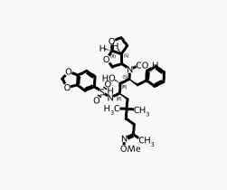 CON=C(C)CCC(C)(C)C[C@@H](NS(=O)(=O)c1ccc2c(c1)OCO2)[C@H](O)[C@H](Cc1ccccc1)N(C(=O)O)C1CO[C@H]2OCC[C@@H]12